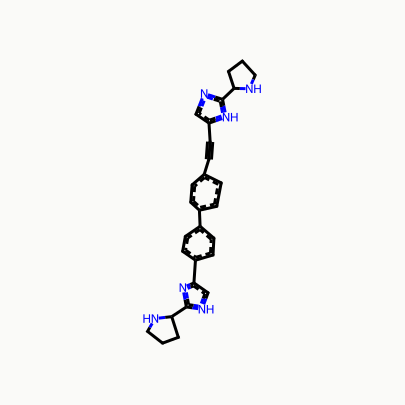 C(#Cc1cnc(C2CCCN2)[nH]1)c1ccc(-c2ccc(-c3c[nH]c(C4CCCN4)n3)cc2)cc1